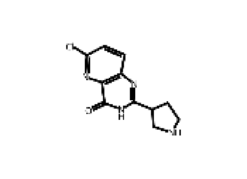 O=c1[nH]c(C2CCNC2)nc2ccc(Cl)nc12